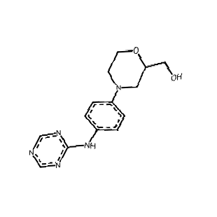 OCC1CN(c2ccc(Nc3ncncn3)cc2)CCO1